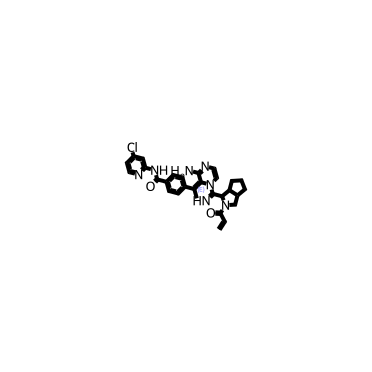 C=CC(=O)N1CC2CCCC2C1C(=N)N1C=CN=C(N)/C1=C(/C)c1ccc(C(=O)Nc2cc(Cl)ccn2)cc1